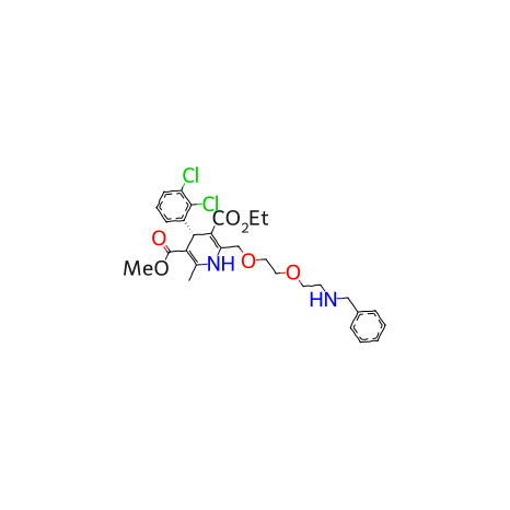 CCOC(=O)C1=C(COCCOCCNCc2ccccc2)NC(C)=C(C(=O)OC)[C@@H]1c1cccc(Cl)c1Cl